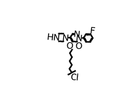 CC(C)(Cl)CCCCCCOc1c(N2CCNCC2)cnn(-c2cccc(F)c2)c1=O